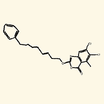 Cc1c(Cl)c(Cl)cc2nc(OCCCCCCCCc3ccccc3)oc(=O)c12